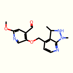 COc1cc(C=O)c(OCc2ccnc3c2C(C)NN3C)cn1